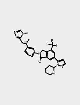 C[C@H](Cc1nncn1C)c1cccc(N2Cc3c(cc(-c4ccnn4C4CCCCO4)cc3C(F)(F)F)C2=O)c1